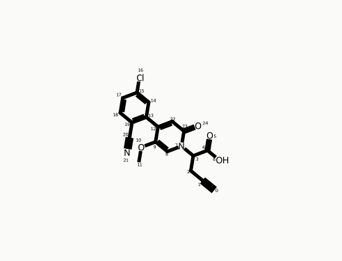 C#CCC(C(=O)O)n1cc(OC)c(-c2cc(Cl)ccc2C#N)cc1=O